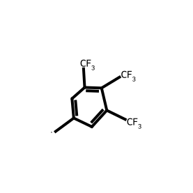 [CH2]c1cc(C(F)(F)F)c(C(F)(F)F)c(C(F)(F)F)c1